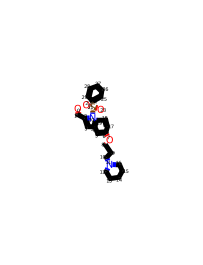 O=Cc1cc2cc(OCCCN3CCCCC3)ccc2n1S(=O)(=O)c1ccccc1